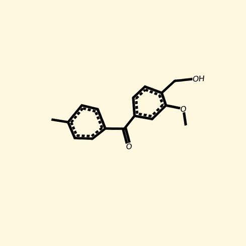 COc1cc(C(=O)c2ccc(C)cc2)ccc1CO